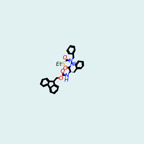 CCSC(=O)N(Cc1ccccc1)NC(=O)[C@H](Cc1ccccc1)NC(=O)OCC1c2ccccc2-c2ccccc21